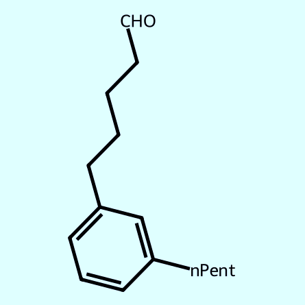 CCCCCc1cccc(CCCCC=O)c1